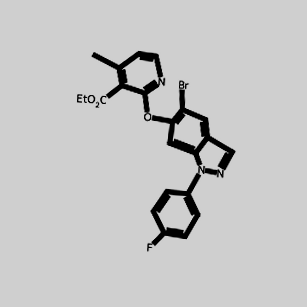 CCOC(=O)c1c(C)ccnc1Oc1cc2c(cnn2-c2ccc(F)cc2)cc1Br